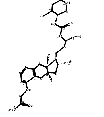 CCCCC[C@@H](CC[C@@H]1[C@H]2Cc3cccc(OCC(=O)OC)c3C[C@H]2C[C@H]1O)OC(=O)O[C@@H]1CNCCC1CC